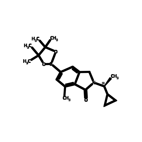 Cc1cc(B2OC(C)(C)C(C)(C)O2)cc2c1C(=O)N([C@@H](C)C1CC1)C2